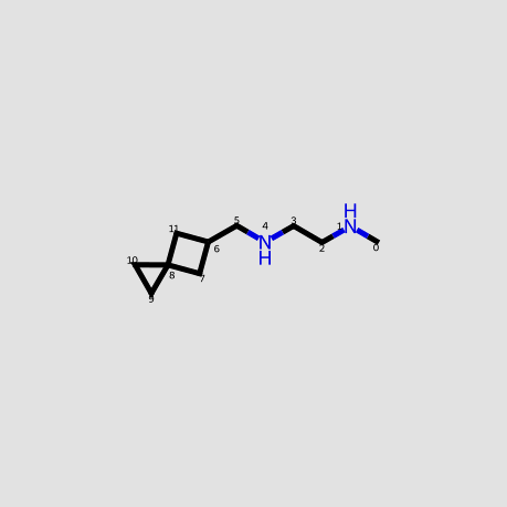 CNCCNCC1CC2(CC2)C1